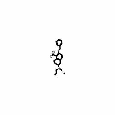 CCCN(CCC)C1CCc2c(ccc(OCc3ccccc3)c2C(=O)O)C1